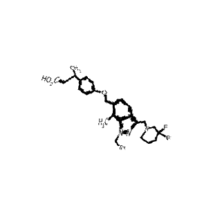 Cc1c(COc2ccc(C(C)CC(=O)O)cc2)ccc2c(CN3CCCC(F)(F)C3)nn(CC(C)C)c12